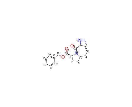 N[C@H]1C=CCC2CC[C@@H](C(=O)OCc3ccccc3)N2C1=O